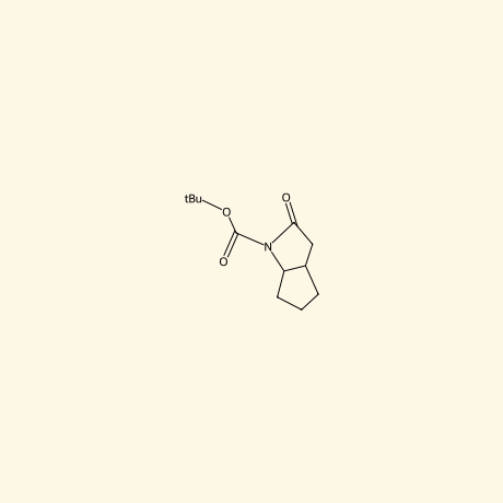 CC(C)(C)OC(=O)N1C(=O)CC2CCCC21